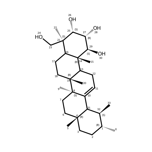 C[C@@H]1CC[C@]2(C)CC[C@]3(C)C(=CCC4[C@]5(C)C(CC[C@]43C)[C@@](C)(CO)[C@H](O)[C@H](O)[C@H]5O)C2[C@H]1C